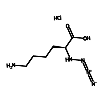 Cl.[N-]=[N+]=NN[C@@H](CCCCN)C(=O)O